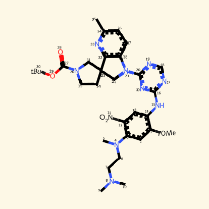 COc1cc(N(C)CCN(C)C)c([N+](=O)[O-])cc1Nc1ncnc(N2CC3(CCN(C(=O)OC(C)(C)C)C3)c3nc(C)ccc32)n1